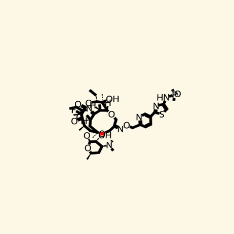 CCC(=O)/N=C1\[C@H](C)C[C@@]2(C)OC/C(=N/OCc3ccc(-c4nc(NP(C)(C)=O)cs4)cn3)CO[C@H]([C@H]1C)[C@](C)(O)[C@@H](CC)OC(=O)[C@@](C)(F)C(=O)[C@H](C)[C@H]2O[C@@H]1O[C@H](C)C[C@H](N(C)C)[C@H]1O